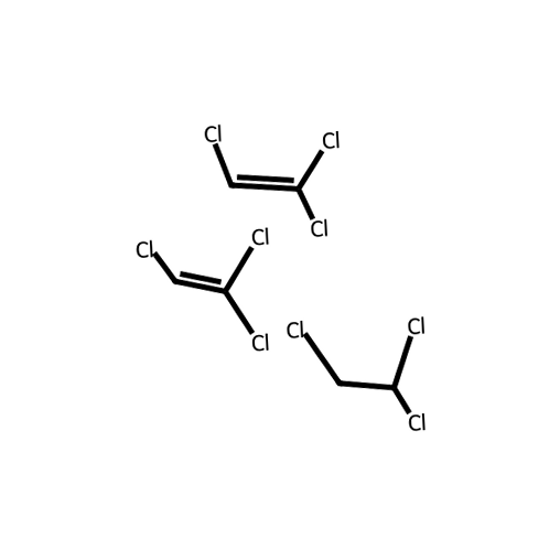 ClC=C(Cl)Cl.ClC=C(Cl)Cl.ClCC(Cl)Cl